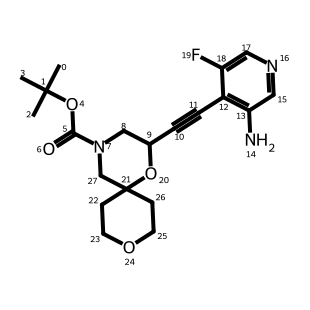 CC(C)(C)OC(=O)N1CC(C#Cc2c(N)cncc2F)OC2(CCOCC2)C1